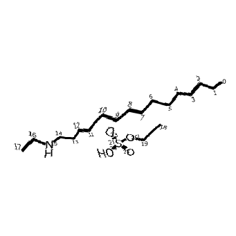 CCCCCCCCCCCCCCCNCC.CCOS(=O)(=O)O